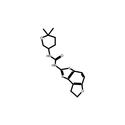 CC1(C)CCC(NC(=O)Nc2nc3c4c(ccc3s2)OCC4)CO1